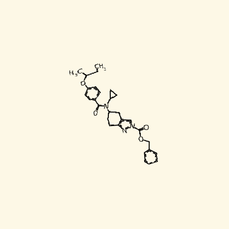 CCC(C)Oc1ccc(C(=O)N(C2CC2)C2CCc3nn(C(=O)OCc4ccccc4)cc3C2)cc1